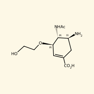 CC(=O)N[C@@H]1[C@@H](N)CC(C(=O)O)=C[C@H]1OCCO